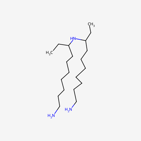 CCC(CCCCCCCN)NC(CC)CCCCCCCN